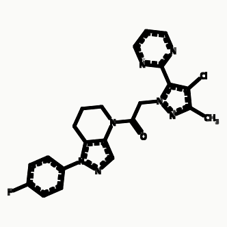 Cc1nn(CC(=O)N2CCCc3c2cnn3-c2ccc(F)cc2)c(-c2ncccn2)c1Cl